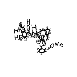 COCOc1ccccc1CCN(Cc1cccc(CCNCC(O)c2ccc(O)c3[nH]c(=O)sc23)c1)C(=O)OC(C)(C)C